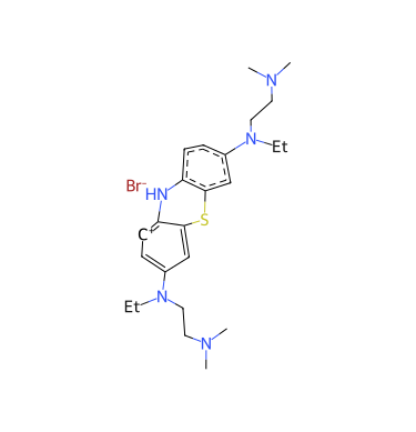 CCN(CCN(C)C)C1=C[C+]=C2Nc3ccc(N(CC)CCN(C)C)cc3SC2=C1.[Br-]